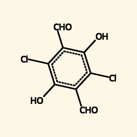 O=Cc1c(O)c(Cl)c(C=O)c(O)c1Cl